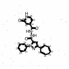 O=C(NNC(=O)c1cc(C2=CC=CCC=C2)nn1-c1ccccc1)c1cc[nH]c(=O)c1